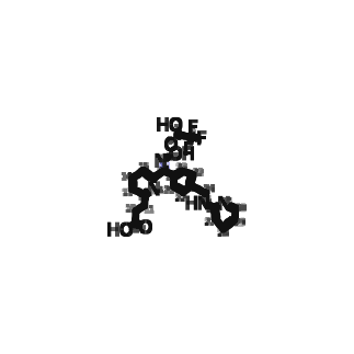 O=C(O)C(F)(F)F.O=C(O)CCc1cccc(/C(=N/O)c2ccc(CNc3ccccn3)cc2)n1